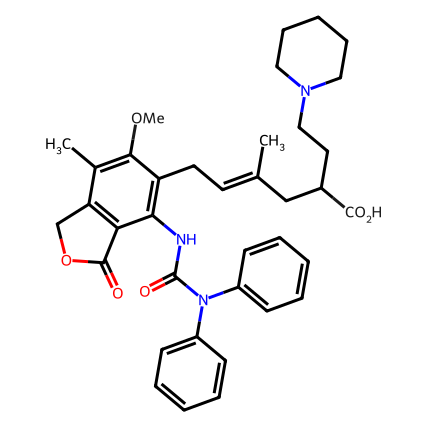 COc1c(C)c2c(c(NC(=O)N(c3ccccc3)c3ccccc3)c1C/C=C(\C)CC(CCN1CCCCC1)C(=O)O)C(=O)OC2